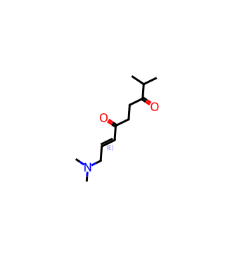 CC(C)C(=O)CCC(=O)/C=C/CN(C)C